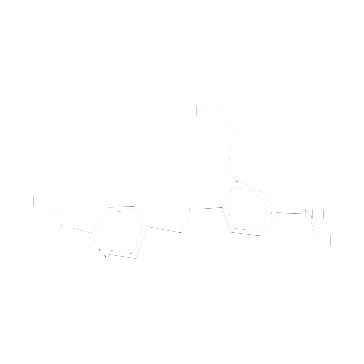 CCOc1cc(NC)ccc1OCc1ccc(OC)nc1